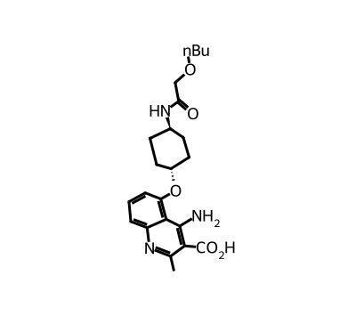 CCCCOCC(=O)N[C@H]1CC[C@H](Oc2cccc3nc(C)c(C(=O)O)c(N)c23)CC1